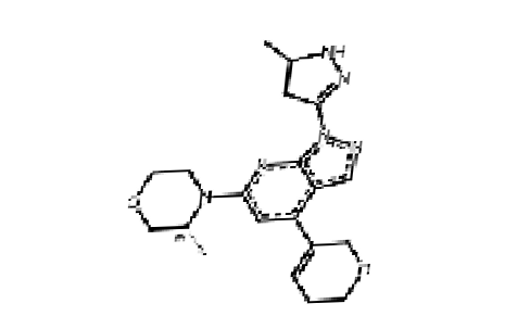 CC1CC(n2ncc3c(C4=CCCOC4)cc(N4CCOC[C@H]4C)nc32)=NN1